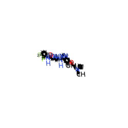 C#CN(CCCOc1cc2ncnc(Nc3cc(CC(=O)Nc4cccc(F)c4F)[nH]n3)c2cc1OC)C1CCC1